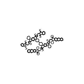 O=C1C(=Cc2cc3c(s2)-c2cc4c(cc2C32CCCCC2)-c2sc(C=C3C(=O)c5cc6cc7ccccc7cc6cc5C3=O)cc2C42CCC(C3CCC4(CC3)c3cc5c(cc3-c3sc(C=C6C(=S)c7ccccc7C6=S)cc34)C3(CCCCC3)c3cc(C=C4C(=S)c6ccccc6C4=S)sc3-5)CC2)C(=O)c2cc3cc4ccccc4cc3cc21